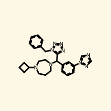 c1ccc(Cn2nnnc2C(c2cccc(-n3cncn3)c2)N2CCCN(C3CCC3)CC2)cc1